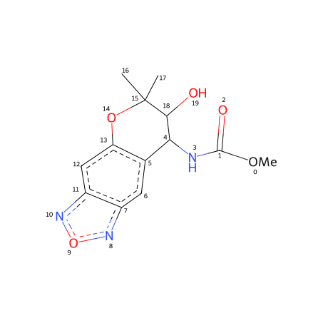 COC(=O)NC1c2cc3nonc3cc2OC(C)(C)C1O